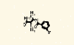 CC(NC(=O)c1cccc(Br)c1)C(C)C(N)=O